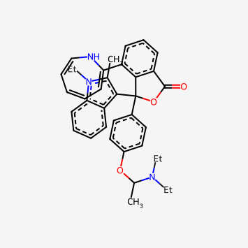 CCN(CC)C(C)Oc1ccc(C2(c3c(C)n(CC)c4ccccc34)OC(=O)c3cccc(C4=CC=CC=CN4)c32)cc1